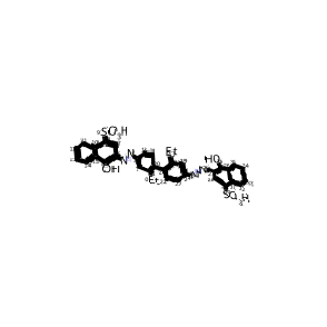 CCc1cc(/N=N/c2cc(S(=O)(=O)O)c3ccccc3c2O)ccc1-c1ccc(/N=N/c2cc(S(=O)(=O)O)c3ccccc3c2O)cc1CC